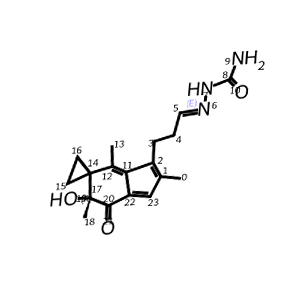 CC1=C(CC/C=N/NC(N)=O)C2=C(C)C3(CC3)[C@@](C)(O)C(=O)C2=C1